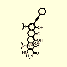 CN(C)c1cc(C#CC2=CCCCC2)c(O)c2c1CC1CC3[C@H](N(C)C)C(O)=C(C(N)=O)C(=O)[C@@]3(O)C(O)=C1C2=O